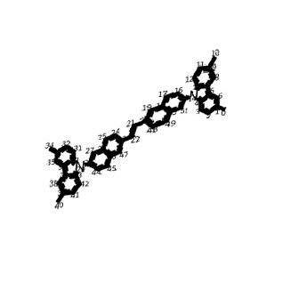 Cc1ccc2c(c1)c1cc(C)ccc1n2-c1ccc2cc(/C=C/c3ccc4cc(-n5c6ccc(C)cc6c6cc(C)ccc65)ccc4c3)ccc2c1